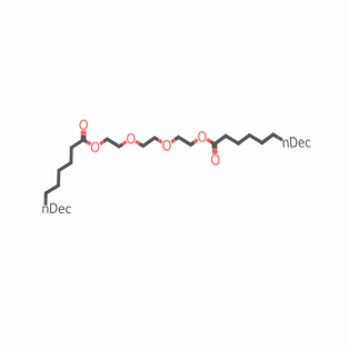 CCCCCCCCCCCCCCCC(=O)OCCOCCOCCOC(=O)CCCCCCCCCCCCCCC